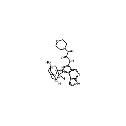 O=C(Nc1nn([C@H]2[C@@H]3CC4C[C@H]2C[C@@](O)(C4)C3)c2c1cnc1[nH]ccc12)C(=O)N1CCOCC1